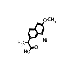 COc1ccc2cc([C@H](C)C(=O)O)ccc2c1.[Ni]